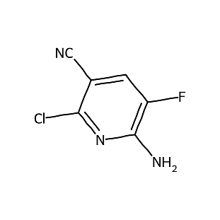 N#Cc1cc(F)c(N)nc1Cl